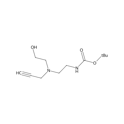 C#CCN(CCO)CCNC(=O)OC(C)(C)C